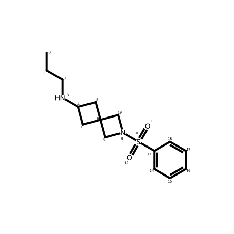 CCCNC1CC2(C1)CN(S(=O)(=O)c1ccccc1)C2